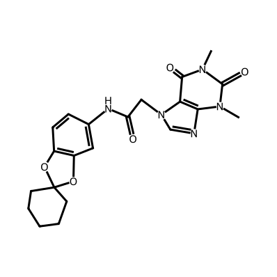 Cn1c(=O)c2c(ncn2CC(=O)Nc2ccc3c(c2)OC2(CCCCC2)O3)n(C)c1=O